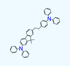 CC1(C)c2cc(CCc3ccc(N(c4ccccc4)c4ccccc4)cc3)ccc2-c2ccc(N(c3ccccc3)c3ccccc3)cc21